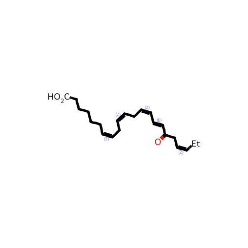 CC/C=C\CC(=O)/C=C/C=C\C/C=C\C/C=C\CCCCCC(=O)O